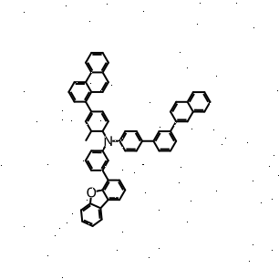 CC1C=C(c2cccc3c2ccc2ccccc23)C=CC1N(c1ccc(-c2cccc(-c3ccc4ccccc4c3)c2)cc1)c1cccc(-c2cccc3c2oc2ccccc23)c1